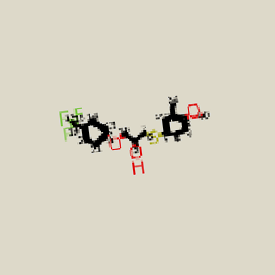 COc1ccc(SCC(O)COc2ccc(C(F)(F)F)cc2)cc1C